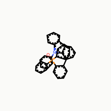 O=P(c1ccccc1)(c1ccccc1)c1ccccc1-c1cccc2c3ccccc3n(-c3ccccc3)c12